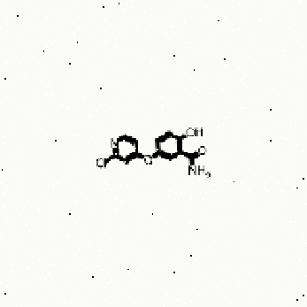 NC(=O)c1cc(Oc2ccnc(Cl)c2)ccc1O